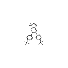 CC(C)(C)c1ccc(-c2cc3c(cc2-c2ccc(C(C)(C)C)cc2)C(C)(C)C=N3)cc1